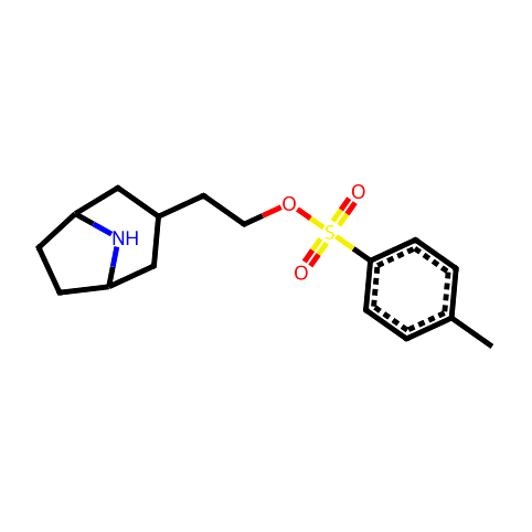 Cc1ccc(S(=O)(=O)OCCC2CC3CCC(C2)N3)cc1